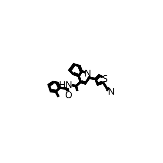 Cc1ccccc1C(=O)NC(C)c1cc(-c2csc(C#N)c2)nc2ccccc12